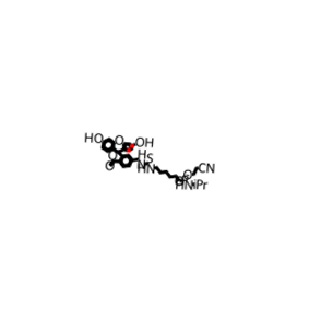 CC(C)NP(OCCC#N)OCCCCCNC(=S)NCc1ccc2c(c1)C1(OC2=O)c2ccc(O)cc2Oc2cc(O)ccc21